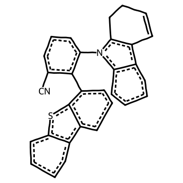 N#Cc1cccc(-n2c3c(c4ccccc42)C=CCC3)c1-c1cccc2c1sc1ccccc12